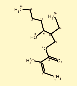 CC=C(C)C(=O)OCC(CC)C(O)CCCC